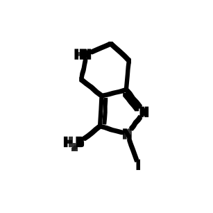 Bc1c2c(nn1I)CCNC2